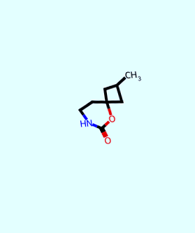 CC1CC2(CCNC(=O)O2)C1